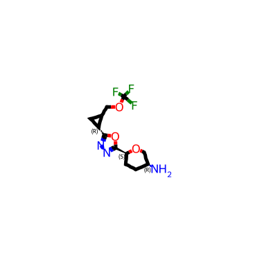 N[C@@H]1CC[C@@H](c2nnc([C@@H]3CC3COC(F)(F)F)o2)OC1